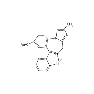 CSc1ccc2c(c1)C(c1ccccc1Cl)=[N+]([O-])Cc1nc(C)cn1-2